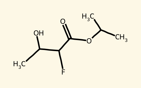 CC(C)OC(=O)C(F)C(C)O